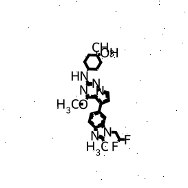 COc1nc(N[C@H]2CC[C@](C)(O)CC2)nn2ccc(-c3ccc4nc(C)n(CC(F)F)c4c3)c12